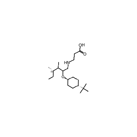 CC[C@H](C)C(C)C(CNCCC(=O)O)O[C@H]1CC[C@H](C(C)(C)C)CC1